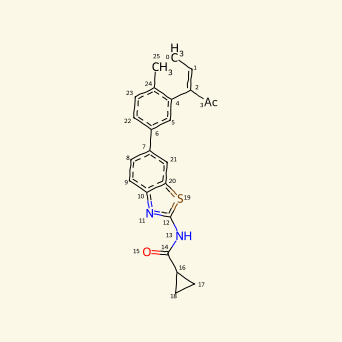 C/C=C(/C(C)=O)c1cc(-c2ccc3nc(NC(=O)C4CC4)sc3c2)ccc1C